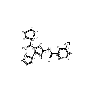 O=C(Nc1nc(-c2ccco2)c(C(=O)c2ccccn2)s1)c1ccnc(Cl)c1